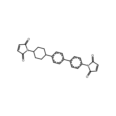 O=C1C=CC(=O)N1c1ccc(-c2ccc(C3CCC(N4C(=O)C=CC4=O)CC3)cc2)cc1